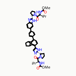 COC(=O)N[C@H](C(=O)N1CCC[C@H]1c1ncc(-c2ccc(-c3ccc(-c4ccc5nc([C@@H]6CCCN6C(=O)[C@@H](NC(=O)OC)C(C)C)[nH]c5c4)cc3)c3c2C2CCC3C2)[nH]1)C(C)C